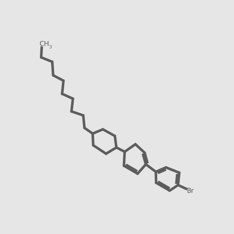 CCCCCCCCCCC1CCC(C2C=CC(c3ccc(Br)cc3)=CC2)CC1